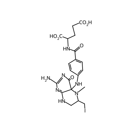 CN1C(CI)CNC2=NC(N)=NC(=O)C21Nc1ccc(C(=O)NC(CCC(=O)O)C(=O)O)cc1